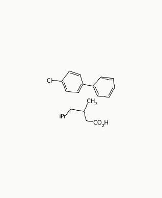 CC(C)CC(C)CC(=O)O.Clc1ccc(-c2ccccc2)cc1